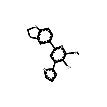 N#Cc1c(-c2ccco2)cc(-c2ccc3c(c2)OCO3)nc1N